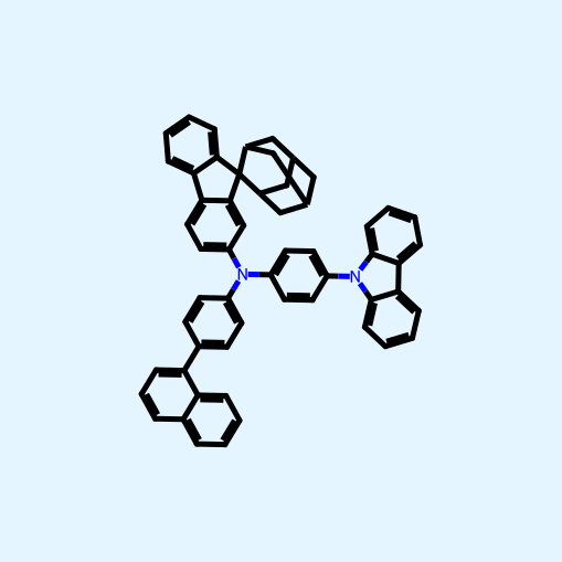 c1ccc2c(c1)-c1ccc(N(c3ccc(-c4cccc5ccccc45)cc3)c3ccc(-n4c5ccccc5c5ccccc54)cc3)cc1C21C2CC3CC(C2)CC1C3